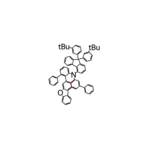 CC(C)(C)c1cccc(C2(c3cccc(C(C)(C)C)c3)c3ccccc3-c3c(N(c4cccc(-c5ccccc5)c4)c4cccc(-c5ccccc5)c4-c4ccc5c(c4)oc4ccccc45)cccc32)c1